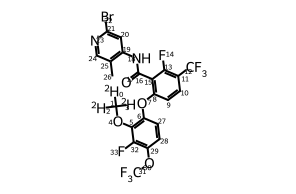 [2H]C([2H])([2H])Oc1c(Oc2ccc(C(F)(F)F)c(F)c2C(=O)Nc2cc(Br)ncc2C)ccc(OC(F)(F)F)c1F